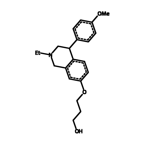 CCN1Cc2cc(OCCCO)ccc2C(c2ccc(OC)cc2)C1